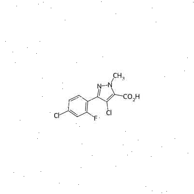 Cn1nc(-c2ccc(Cl)cc2F)c(Cl)c1C(=O)O